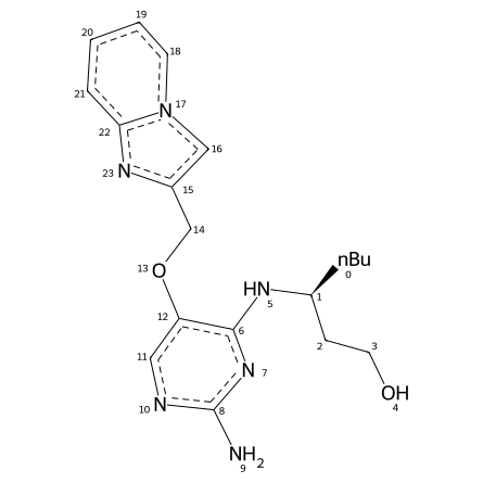 CCCC[C@@H](CCO)Nc1nc(N)ncc1OCc1cn2ccccc2n1